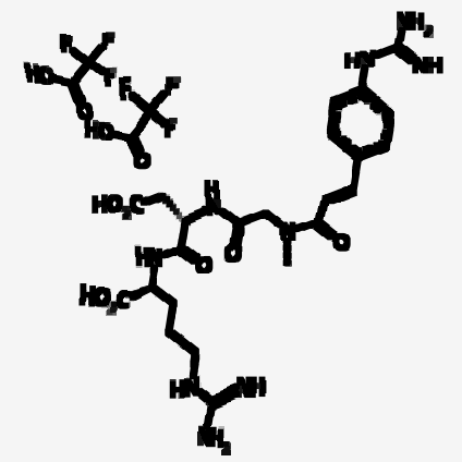 CN(CC(=O)N[C@@H](CC(=O)O)C(=O)N[C@@H](CCCNC(=N)N)C(=O)O)C(=O)C=Cc1ccc(NC(=N)N)cc1.O=C(O)C(F)(F)F.O=C(O)C(F)(F)F